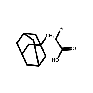 CC12CC3CC(CC(C3)C1)C2.O=C(O)CBr